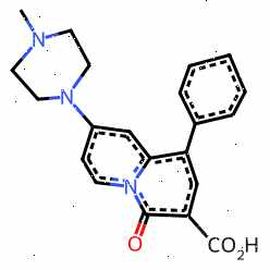 CN1CCN(c2ccn3c(=O)c(C(=O)O)cc(-c4ccccc4)c3c2)CC1